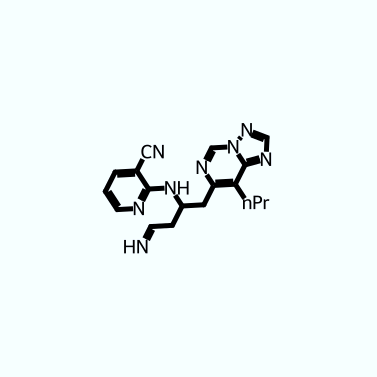 CCCc1c(CC(CC=N)Nc2ncccc2C#N)ncn2ncnc12